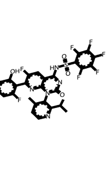 Cc1ccnc(C(C)C)c1-n1c(=O)nc(NS(=O)(=O)c2c(F)c(F)c(F)c(F)c2F)c2cc(F)c(-c3c(O)cccc3F)nc21